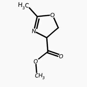 COC(=O)C1COC(C)=N1